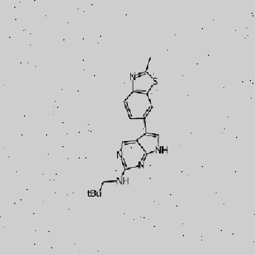 Cc1nc2ccc(-c3c[nH]c4nc(NCC(C)(C)C)ncc34)cc2s1